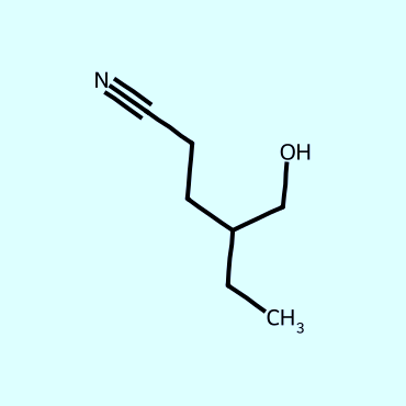 CCC(CO)CCC#N